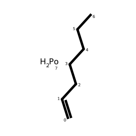 C=CCCCCC.[PoH2]